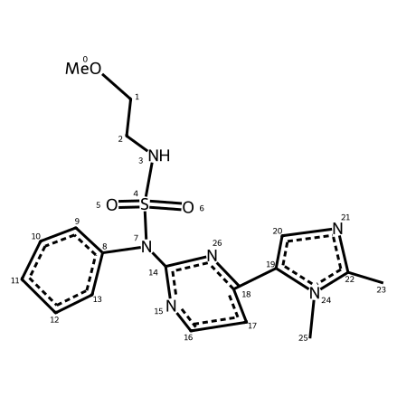 COCCNS(=O)(=O)N(c1ccccc1)c1nccc(-c2cnc(C)n2C)n1